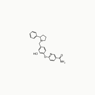 Cl.NC(=O)c1ccc(Oc2ccc(CN3CCCC3c3ccccc3)cc2)nc1